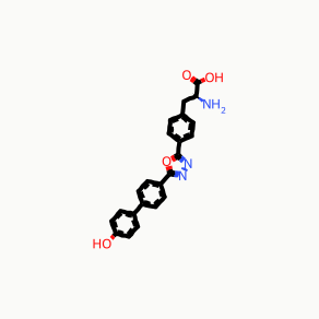 N[C@@H](Cc1ccc(-c2nnc(-c3ccc(-c4ccc(O)cc4)cc3)o2)cc1)C(=O)O